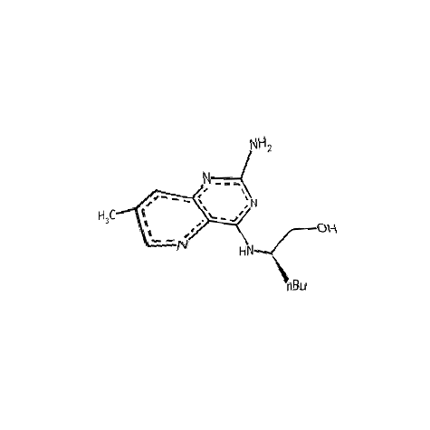 CCCC[C@H](CO)Nc1nc(N)nc2cc(C)cnc12